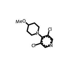 COC1CCN(c2c(Cl)cncc2Cl)CC1